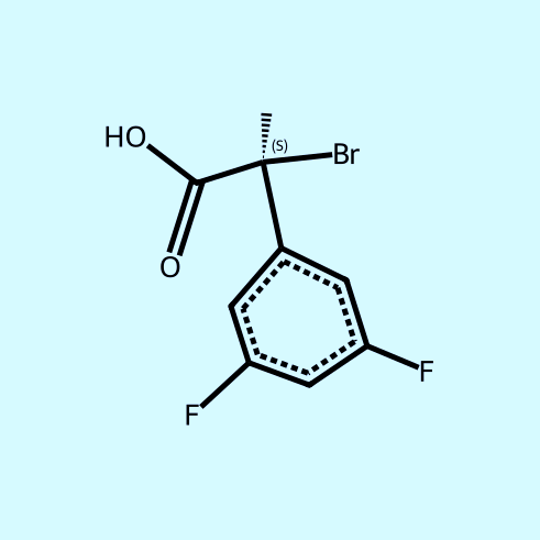 C[C@@](Br)(C(=O)O)c1cc(F)cc(F)c1